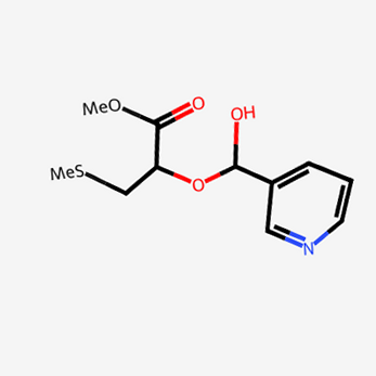 COC(=O)C(CSC)OC(O)c1cccnc1